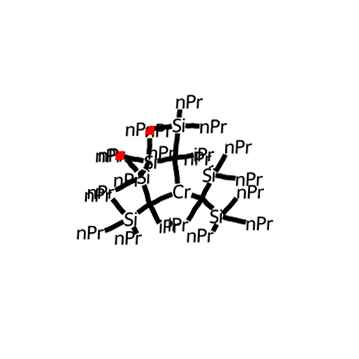 CCC[Si](CCC)(CCC)[C](C(C)C)([Cr]([C](C(C)C)([Si](CCC)(CCC)CCC)[Si](CCC)(CCC)CCC)[C](C(C)C)([Si](CCC)(CCC)CCC)[Si](CCC)(CCC)CCC)[Si](CCC)(CCC)CCC